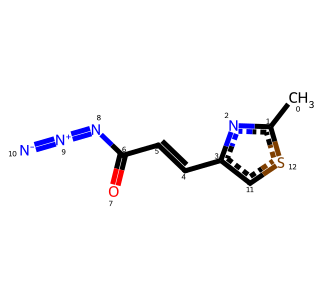 Cc1nc(C=CC(=O)N=[N+]=[N-])cs1